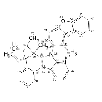 C=CC1(CC)c2ccccc2N2c3cccnc3N(c3ccc4oc5ccccc5c4c3C)C2C1(C)CC